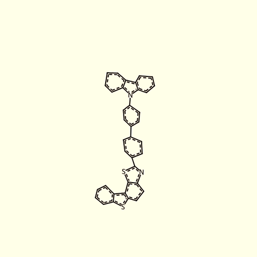 c1ccc2c(c1)sc1ccc3nc(-c4ccc(-c5ccc(-n6c7ccccc7c7ccccc76)cc5)cc4)sc3c12